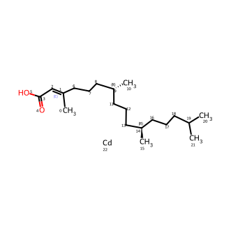 C/C(=C\C(=O)O)CCC[C@H](C)CCC[C@H](C)CCCC(C)C.[Cd]